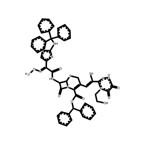 CON=C(C(=O)NC1C(=O)N2C(C(=O)OC(c3ccccc3)c3ccccc3)=C(C=C(S)c3n[nH]c(=O)c(=O)n3CCO)CSC12)c1csc(NC(c2ccccc2)(c2ccccc2)c2ccccc2)n1